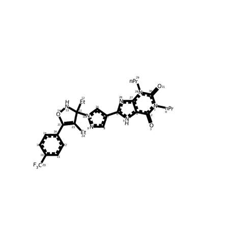 CCCn1c(=O)c2[nH]c(-c3cnn(C4(CC)NOC(c5ccc(C(F)(F)F)cc5)=C4CC)c3)nc2n(CCC)c1=O